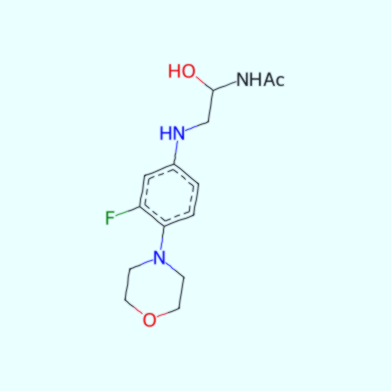 CC(=O)NC(O)CNc1ccc(N2CCOCC2)c(F)c1